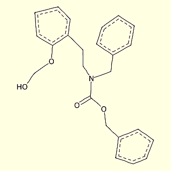 O=C(OCc1ccccc1)N(CCc1ccccc1OCO)Cc1ccccc1